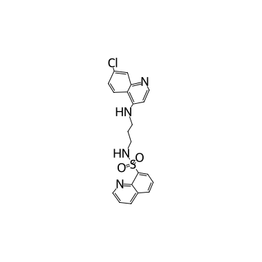 O=S(=O)(NCCCNc1ccnc2cc(Cl)ccc12)c1cccc2cccnc12